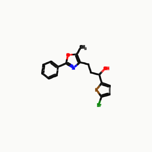 Cc1oc(-c2ccccc2)nc1CCC(O)c1ccc(Br)s1